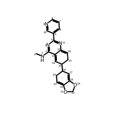 CNc1nc(-c2cccnc2)nc2c1=CC(C1C=C3OCOC3=CC1)CC=2